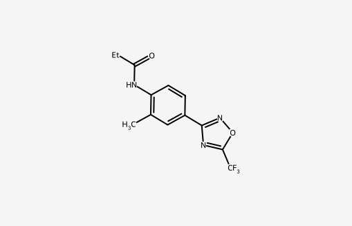 CCC(=O)Nc1ccc(-c2noc(C(F)(F)F)n2)cc1C